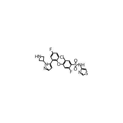 O=S(=O)(Nc1cscn1)c1cc(Cl)c(Oc2ccc(F)cc2-c2ccnn2C2CNC2)cc1F